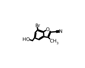 Cc1c(C#N)oc2c(Br)cc(CO)cc12